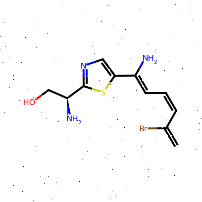 C=C(Br)/C=C\C=C(/N)c1cnc([C@@H](N)CO)s1